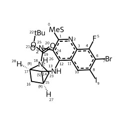 CSc1nc2c(F)c(Br)c(I)cc2c(N[C@H]2[C@@H]3C[C@H]2N(C(=O)OC(C)(C)C)C3)c1[N+](=O)[O-]